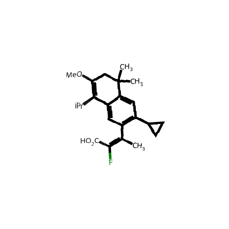 COC1=C(C(C)C)c2cc(/C(C)=C(/F)C(=O)O)c(C3CC3)cc2C(C)(C)C1